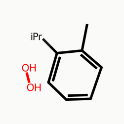 Cc1ccccc1C(C)C.OO